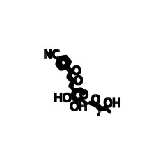 C[C@H]([C@@H]1O[C@H]1C[C@@H]1OC[C@H](CC(=O)CC(=O)c2ccc(C#N)cc2)[C@@H](O)[C@H]1O)[C@H](C)O